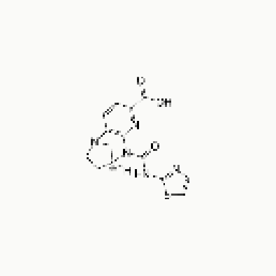 O=C(O)c1ccc2c(n1)N(C(=O)Nc1nccs1)[C@H]1CCN2C1